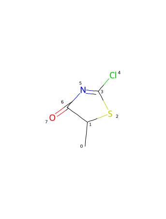 CC1SC(Cl)=NC1=O